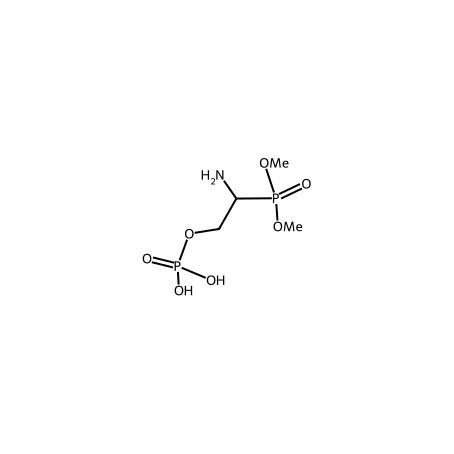 COP(=O)(OC)C(N)COP(=O)(O)O